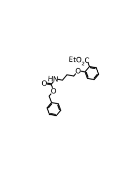 CCOC(=O)c1ccccc1OCCCNC(=O)OCc1ccccc1